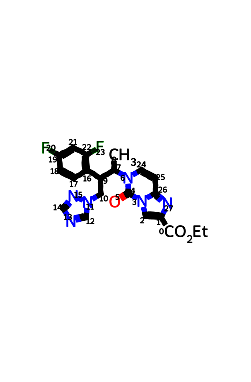 CCOC(=O)c1cn2c(=O)n(C(C)C(Cn3cncn3)c3ccc(F)cc3F)ccc2n1